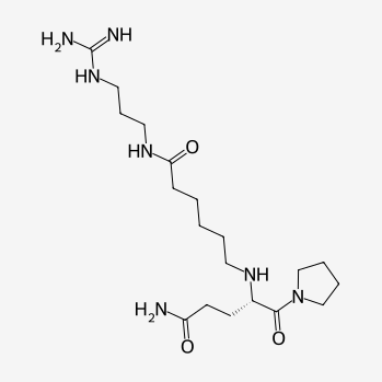 N=C(N)NCCCNC(=O)CCCCCN[C@@H](CCC(N)=O)C(=O)N1CCCC1